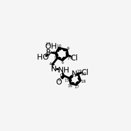 O=C(N/N=C\c1cc(Cl)ccc1B(O)O)c1cccc(Cl)n1